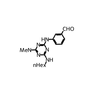 CCCCCCNc1nc(NC)nc(Nc2cccc(C=O)c2)n1